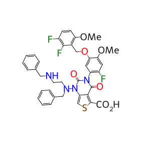 COc1cc(F)c(-n2c(=O)c3c(C(=O)O)scc3n(N(CCNCc3ccccc3)Cc3ccccc3)c2=O)cc1OCc1c(OC)ccc(F)c1F